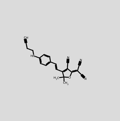 C#CCCNc1ccc(C=CC2=C(C#N)C(=C(C#N)C#N)OC2(C)C)cc1